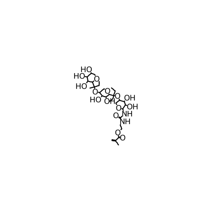 C=C(C)C(=O)OCCNC(=O)NC1OCC(OC(CC)(CC)C2OCC(OC(C)(CC)C3OCC(O)C(O)C3O)C(O)C2O)C(O)C1O